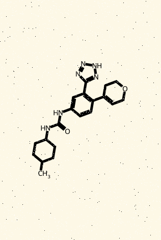 CC1CCC(NC(=O)Nc2ccc(C3=CCOCC3)c(-c3nn[nH]n3)c2)CC1